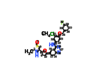 C.CCNC(C=S=O)c1ccc(-c2ccc3ncnc(Nc4ccc(OCc5cccc(F)c5)c(Cl)c4)c3c2)o1